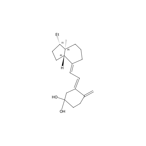 C=C1CCC(O)(O)CC1=CC=C1CCC[C@]2(C)[C@@H](CC)CC[C@@H]12